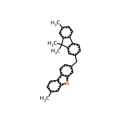 Cc1ccc2c(c1)C(C)(C)c1cc(Cc3ccc4c(c3)sc3cc(C)ccc34)ccc1-2